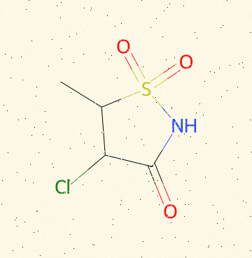 CC1C(Cl)C(=O)NS1(=O)=O